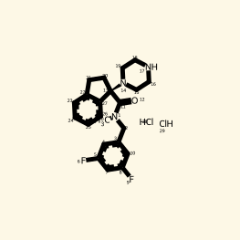 CN(Cc1cc(F)cc(F)c1)C(=O)[C@@]1(N2CCNCC2)CCc2ccccc21.Cl.Cl